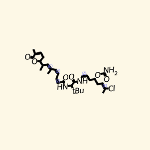 CC1=CCC(C(C)/C=C(C)/C=C\C=C/C(=O)NC(C(=O)N/C=C\CC(C/C=C(\C)Cl)OC(N)=O)C(C)(C)C)OC1=O